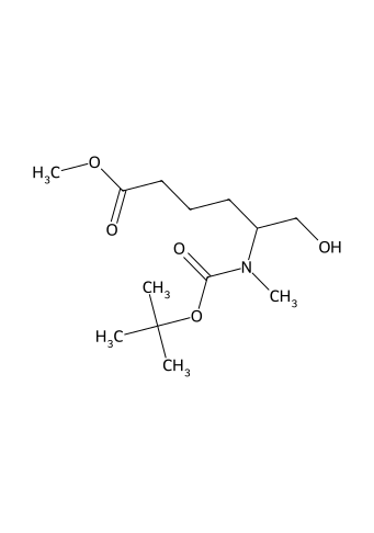 COC(=O)CCCC(CO)N(C)C(=O)OC(C)(C)C